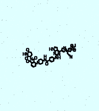 CCS(=O)(=O)N1CC(CC#N)(n2cc(-c3nc(Nc4ccc(C(=O)NC5CCN(c6cccc7c6C(=O)N(C6CCC(=O)NC6=O)C7=O)CC5)cc4)nc4[nH]ccc34)cn2)C1